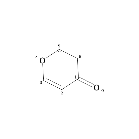 O=C1C=CO[C]C1